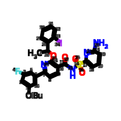 CC(C)COc1cc(F)cc(-c2ccc(C(=O)NS(=O)(=O)c3cccc(N)n3)c(OC(C)c3ccccc3I)n2)c1